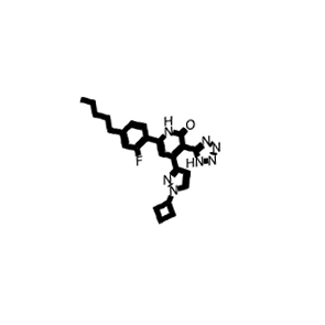 CCCCCc1ccc(-c2cc(-c3ccn(C4CCC4)n3)c(-c3nnn[nH]3)c(=O)[nH]2)c(F)c1